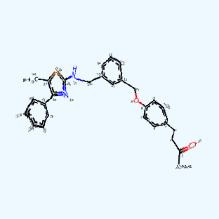 COC(=O)CCc1ccc(OCc2cccc(CNc3nc(-c4ccccc4)c(C)s3)c2)cc1